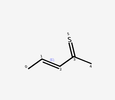 C/C=C/C(C)=S